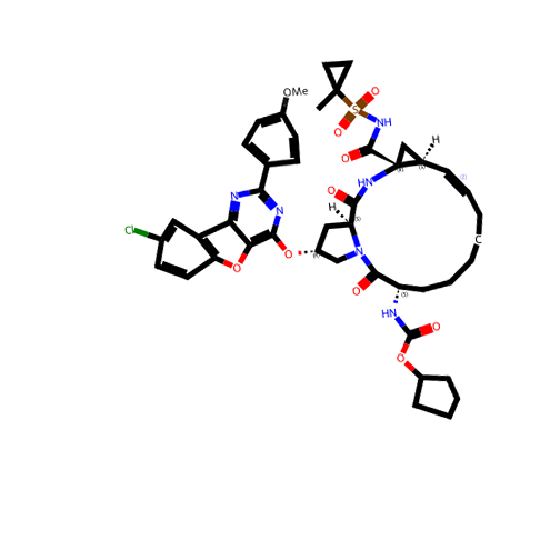 COc1ccc(-c2nc(O[C@@H]3C[C@H]4C(=O)N[C@]5(C(=O)NS(=O)(=O)C6(C)CC6)C[C@H]5/C=C\CCCCC[C@H](NC(=O)OC5CCCC5)C(=O)N4C3)c3oc4ccc(Cl)cc4c3n2)cc1